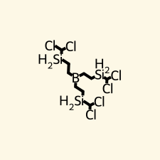 ClC(Cl)[SiH2]CCB(CC[SiH2]C(Cl)Cl)CC[SiH2]C(Cl)Cl